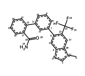 Cn1cnc2cc(-c3cccc(-c4ccccc4C(N)=O)c3)c(C(F)(F)F)cc21